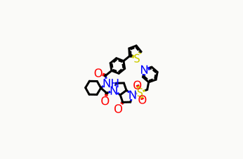 O=C(NC1(C(=O)N2CCC3C2C(=O)CN3S(=O)(=O)Cc2cccnc2)CCCCC1)c1ccc(-c2cccs2)cc1